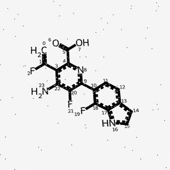 C=C(F)c1c(C(=O)O)nc(-c2ccc3cc[nH]c3c2F)c(F)c1N